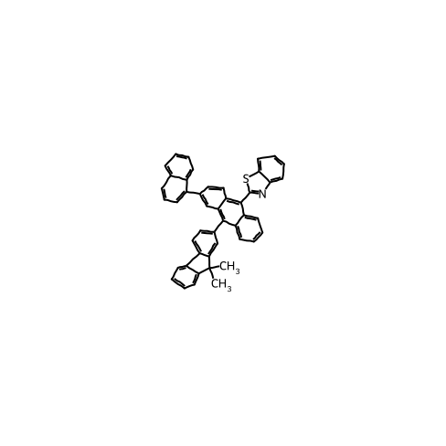 CC1(C)c2ccccc2-c2ccc(-c3c4ccccc4c(-c4nc5ccccc5s4)c4ccc(-c5cccc6ccccc56)cc34)cc21